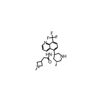 C[C@@H]1CNC[C@](NC(=O)CC2CN(C)C2)(c2ccc(C(F)(F)F)c3ncccc23)C1